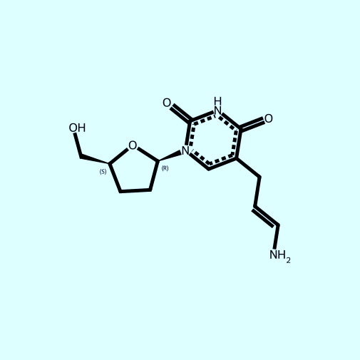 NC=CCc1cn([C@H]2CC[C@@H](CO)O2)c(=O)[nH]c1=O